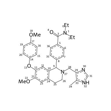 CCN(CC)C(=O)c1ccc(C2c3cc(Oc4ccc(OC)cc4)c(OC)cc3CCN2Cc2nc[nH]c2C)cc1